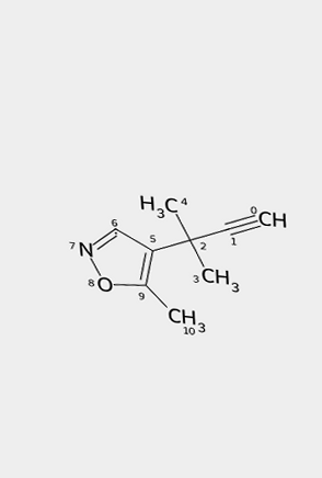 C#CC(C)(C)c1[c]noc1C